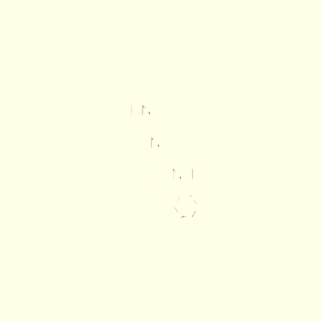 NCCN1CCC(NCc2ccccc2)C(O)C1